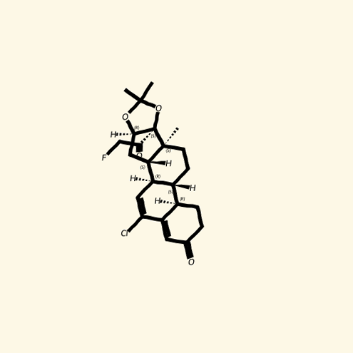 CC1(C)O[C@@H]2C[C@H]3[C@@H]4C=C(Cl)C5=CC(=O)CC[C@@H]5[C@H]4CC[C@]3(C)[C@]2(C(=O)CF)O1